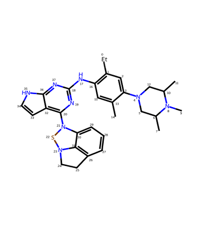 CCc1cc(N2CC(C)N(C)C(C)C2)c(C)cc1Nc1nc(N2SN3CCc4cccc2c43)c2cc[nH]c2n1